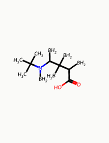 BC(C(=O)O)C(B)(B)C(B)N(B)C(C)(C)C